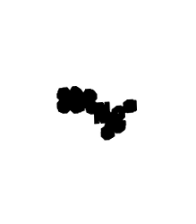 C1=NC(c2ccc3c(c2)c2ccccc2n3-c2ccc3c(c2)C(c2ccccc2)(c2ccccc2)c2ccccc2-3)=NCC1N(c1ccc(-c2ccccc2)cc1)c1cc2ccccc2c2ccccc12